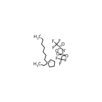 CCCCCCC[N+]1(CC)CCCC1.O=S(=O)([N-]S(=O)(=O)C(F)(F)F)C(F)(F)F